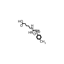 Cc1ccc(S(=O)(=O)NC(=N)NCCCCC(=O)O)cc1